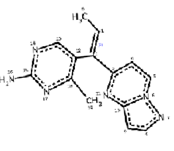 C/C=C(/c1ccn2nccc2n1)c1cnc(N)nc1C